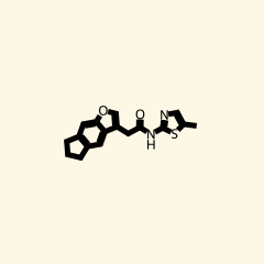 Cc1cnc(NC(=O)Cc2coc3cc4c(cc23)CCC4)s1